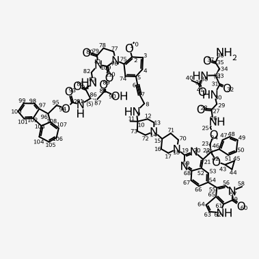 COc1ccc(C#CCNC2(C)CCN(C3CCN(c4nc([C@@](COCNC(=O)CNC(=O)[C@H](CC(N)=O)NC(C)=O)(OC5CC5)c5ccccc5)c5cc(-c6cn(C)c(=O)c7[nH]ccc67)ccc5n4)CC3)CC2)cc1N1CCC(=O)N(CNC(=O)[C@H](CC(=O)O)NC(=O)OCC2c3ccccc3-c3ccccc32)C1=O